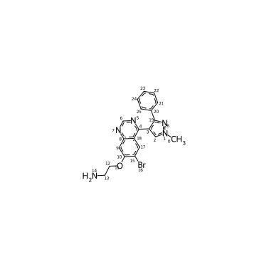 Cn1cc(-c2ncnc3cc(OCCN)c(Br)cc23)c(-c2ccccc2)n1